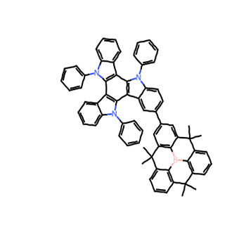 CC1(C)c2cccc3c2B2c4c1cccc4C(C)(C)c1cc(-c4ccc5c(c4)c4c6c(c7ccccc7n6-c6ccccc6)c6c(c7ccccc7n6-c6ccccc6)c4n5-c4ccccc4)cc(c12)C3(C)C